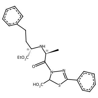 CCOC(=O)[C@H](CCc1ccccc1)N[C@@H](C)C(=O)N1N=C(c2ccccc2)SC1C(=O)O